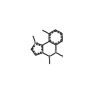 CB1N(I)c2cccc(C)c2-c2n1cc[n+]2C